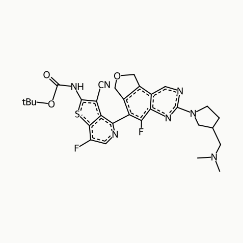 CN(C)CC1CCN(c2ncc3c4c(c(-c5ncc(F)c6sc(NC(=O)OC(C)(C)C)c(C#N)c56)c(F)c3n2)COC4)C1